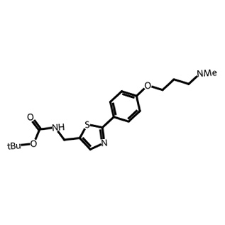 CNCCCOc1ccc(-c2ncc(CNC(=O)OC(C)(C)C)s2)cc1